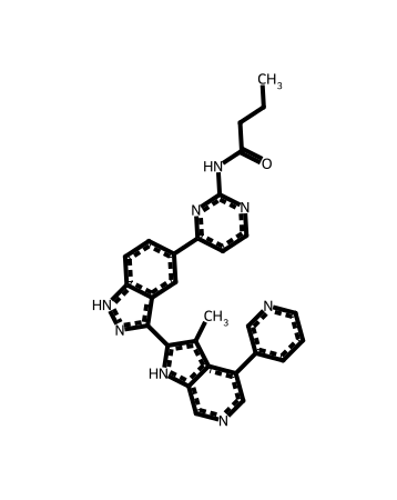 CCCC(=O)Nc1nccc(-c2ccc3[nH]nc(-c4[nH]c5cncc(-c6cccnc6)c5c4C)c3c2)n1